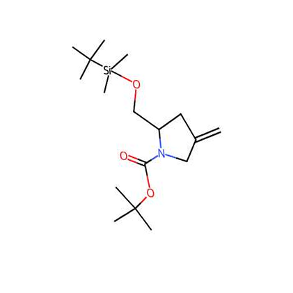 C=C1CC(CO[Si](C)(C)C(C)(C)C)N(C(=O)OC(C)(C)C)C1